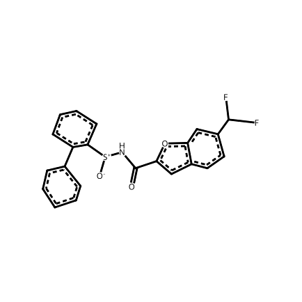 O=C(N[S+]([O-])c1ccccc1-c1ccccc1)c1cc2ccc(C(F)F)cc2o1